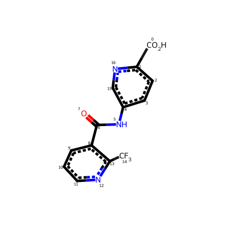 O=C(O)c1ccc(NC(=O)c2cccnc2C(F)(F)F)cn1